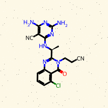 C[C@H](Nc1nc(N)nc(N)c1C#N)c1nc2cccc(Cl)c2c(=O)n1CCC#N